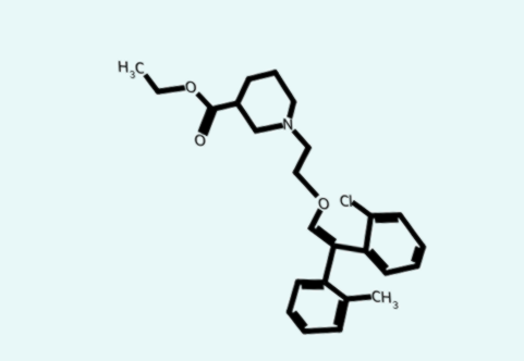 CCOC(=O)C1CCCN(CCOC=C(c2ccccc2C)c2ccccc2Cl)C1